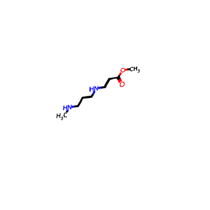 CNCCCNCCC(=O)OC